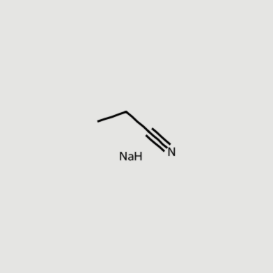 CCC#N.[NaH]